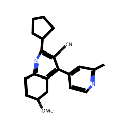 COC1CCc2nc(C3CCCC3)c(C#N)c(-c3ccnc(C)c3)c2C1